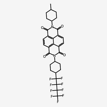 CC1CCC(N2C(=O)c3ccc4c5c(ccc(c35)C2=O)C(=O)N(C2CCC(C(F)(F)C(F)(F)C(F)(F)C(F)(F)F)CC2)C4=O)CC1